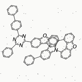 c1ccc(-c2ccc(-c3nc(-c4ccccc4)nc(-c4ccc5c(c4)oc4cc(-c6cccc7oc8cccc(-n9c%10ccccc%10c%10cc(-c%11ccccc%11)ccc%109)c8c67)ccc45)n3)cc2)cc1